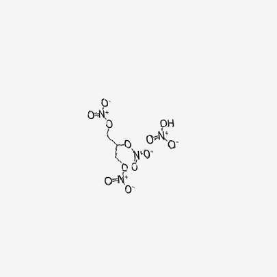 O=[N+]([O-])O.O=[N+]([O-])OCC(CO[N+](=O)[O-])O[N+](=O)[O-]